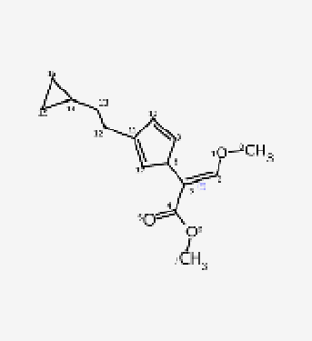 CO/C=C(/C(=O)OC)C1C=CC(CCC2CC2)=C1